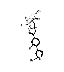 CC(C)c1cc(-c2ccc(C3=NO[C@@H](C[C@](C)(C(=O)NO)S(C)(=O)=O)C3)cc2F)ccn1